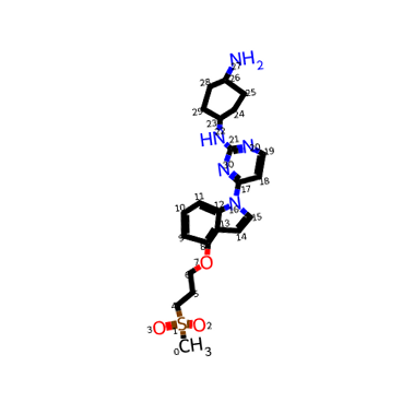 CS(=O)(=O)CCCOc1cccc2c1ccn2-c1ccnc(NC2CCC(N)CC2)n1